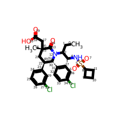 CCC(CNS(=O)(=O)C1CCC1)N1C(=O)[C@@](C)(CC(=O)O)C[C@H](c2cccc(Cl)c2)[C@H]1c1ccc(Cl)cc1